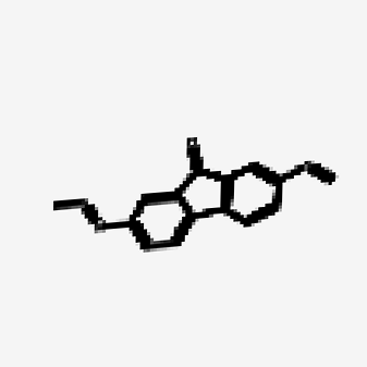 C=Nc1ccc2c(c1)C(=O)c1cc(N=NC)ccc1-2